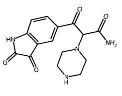 NC(=O)C(C(=O)c1ccc2c(c1)C(=O)C(=O)N2)N1CCNCC1